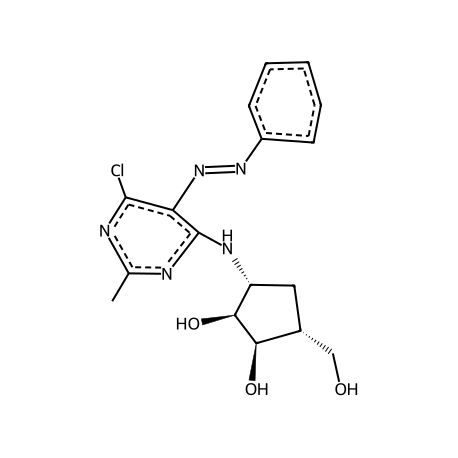 Cc1nc(Cl)c(/N=N/c2ccccc2)c(N[C@@H]2C[C@H](CO)[C@@H](O)[C@H]2O)n1